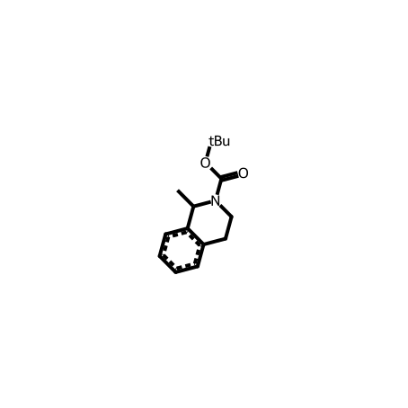 CC1c2ccccc2CCN1C(=O)OC(C)(C)C